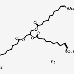 CCCCCCCC/C=C\CCCCCCCC(=O)OCC(COC(=O)CCCCCCC/C=C\CCCCCCCC)OC(=O)CCCCCCC/C=C\CCCCCCCC.[Pt]